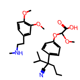 CCCC(C#N)(c1ccc(OC(OC)C(=O)O)cc1)C(C)C.CNCCc1ccc(OC)c(OC)c1